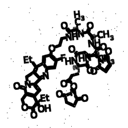 CCc1c2c(nc3cc(F)c(OCCNC(=O)[C@H](C)NC(=O)[C@H](C)NC(=O)[C@H](C)NC(=O)[C@H](CCC(=O)ON4C(=O)CCC4=O)NC(=O)CCCN4C(=O)C=CC4=O)cc13)-c1cc3c(c(=O)n1C2)COC(=O)[C@]3(O)CC